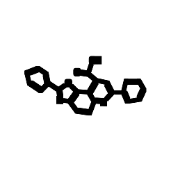 O=C(O)c1cc(-c2ccccc2)nc2ccc3nc(-c4ccccc4)oc3c12